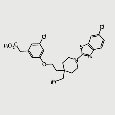 CC(C)CC1(CCOc2cc(Cl)cc(CC(=O)O)c2)CCN(c2nc3ccc(Cl)cc3s2)CC1